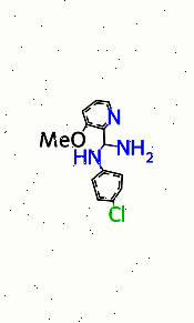 COc1cccnc1C(N)Nc1ccc(Cl)cc1